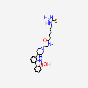 CN(CCN1CCC(c2cccc(-c3ccccc3)c2NC(=O)O)CC1)C(=O)CCCCCNC(N)=S